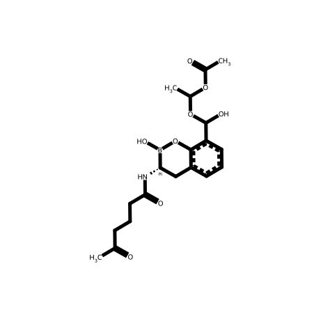 CC(=O)CCCC(=O)N[C@H]1Cc2cccc(C(O)OC(C)OC(C)=O)c2OB1O